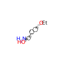 CCOCC[C@@H]1CCc2cc([C@H]3CC[C@](N)(CO)C3)ccc2C1